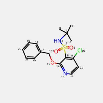 CC(C)(C)NS(=O)(=O)c1c(Cl)ccnc1OCc1ccccc1